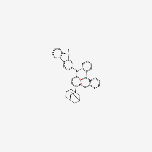 CC1(C)c2ccccc2-c2ccc(N(c3ccc(C45CC6CC(CC(C6)C4)C5)cc3)c3ccccc3-c3cccc4ccccc34)cc21